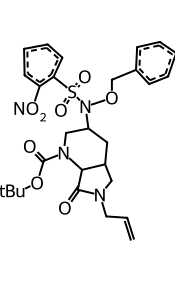 C=CCN1CC2CC(N(OCc3ccccc3)S(=O)(=O)c3ccccc3[N+](=O)[O-])CN(C(=O)OC(C)(C)C)C2C1=O